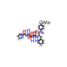 COc1ccc(N(C)C(=O)C(Cc2ccccc2)NC(=O)NS(=O)(=O)NCC(=O)N2CCCC2)cc1